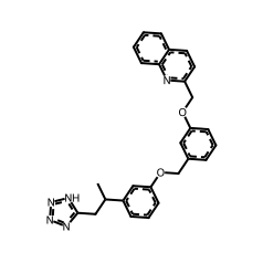 CC(Cc1nnn[nH]1)c1cccc(OCc2cccc(OCc3ccc4ccccc4n3)c2)c1